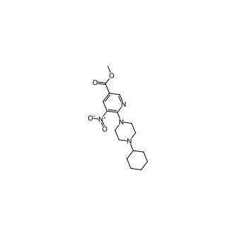 COC(=O)c1cnc(N2CCN(C3CCCCC3)CC2)c([N+](=O)[O-])c1